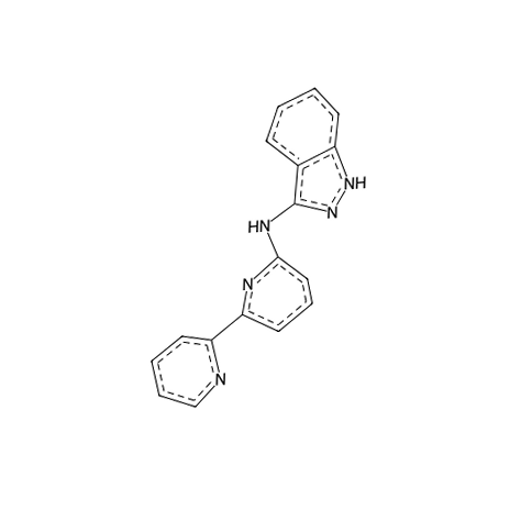 c1ccc(-c2cccc(Nc3n[nH]c4ccccc34)n2)nc1